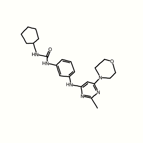 Cc1nc(Nc2cccc(NC(=O)NC3CCCCC3)c2)cc(N2CCOCC2)n1